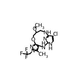 COC1CNC2=NC(NC=C2Cl)Nc2c(nn(CC(F)(F)F)c2C)OC1